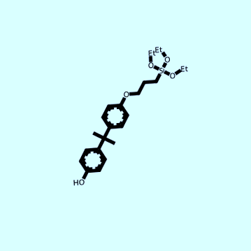 CCO[Si](CCCOc1ccc(C(C)(C)c2ccc(O)cc2)cc1)(OCC)OCC